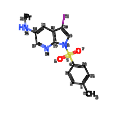 Cc1ccc(S(=O)(=O)n2cc(I)c3cc(NC(C)C)cnc32)cc1